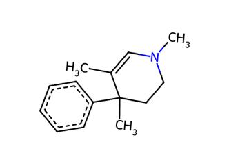 CC1=CN(C)CCC1(C)c1ccccc1